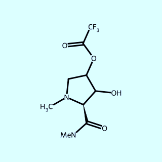 CNC(=O)[C@@H]1C(O)C(OC(=O)C(F)(F)F)CN1C